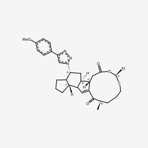 CC[C@H]1CCCC[C@@H](C)C(=O)C2=CC3[C@@H]4CCCC4[C@H](n4cc(-c5ccc(OC)cc5)nn4)C[C@H]3[C@@H]2CC(=O)O1